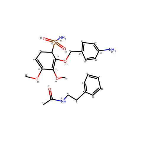 CC(=O)NCCc1ccccc1.COC1=CCC(S(N)(=O)=O)C(OCc2ccc(N)cc2)=C1OC